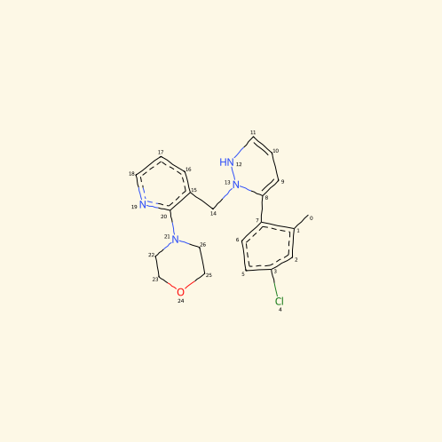 Cc1cc(Cl)ccc1C1=CC=CNN1Cc1cccnc1N1CCOCC1